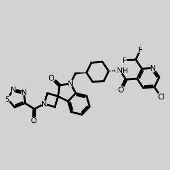 O=C(N[C@H]1CC[C@H](CN2C(=O)C3(CN(C(=O)c4csnn4)C3)c3ccccc32)CC1)c1cc(Cl)cnc1C(F)F